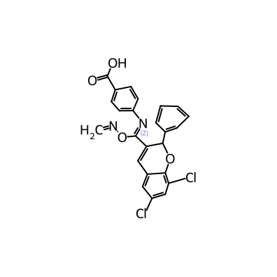 C=NO/C(=N\c1ccc(C(=O)O)cc1)C1=Cc2cc(Cl)cc(Cl)c2OC1c1ccccc1